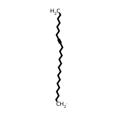 [CH2]CCCCCCC#CCCCCCCCCCCCCCC[CH2]